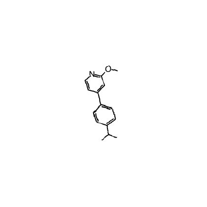 COc1cc(-c2ccc(C(C)C)cc2)ccn1